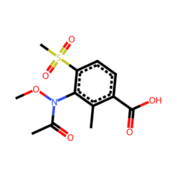 CON(C(C)=O)c1c(S(C)(=O)=O)ccc(C(=O)O)c1C